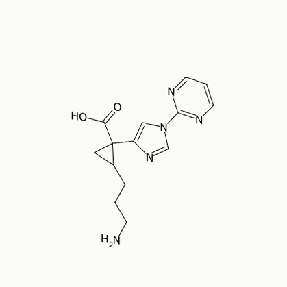 NCCCC1CC1(C(=O)O)c1cn(-c2ncccn2)cn1